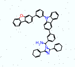 NC(c1cccc(-c2ccc3c(c2)c2ccccc2n3-c2cccc(-c3ccc4c(c3)oc3ccccc34)c2)c1)N1C(C2=CCCC=C2)=N[C@@H]1C1=CCCC=C1